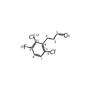 O=CCCc1c(Cl)ccc(F)c1Cl